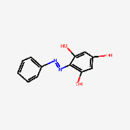 Oc1cc(O)c(N=Nc2ccccc2)c(O)c1